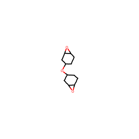 C1CC2OC2CC1OC1CCC2OC2C1